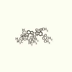 COc1cc(C(=O)OC(C)C)cc2nc(-c3cc4ccc([C@@H](C)N[S+]([O-])C(C)(C)C)c(F)c4n3C(=O)OC(C)(C)C)n(C)c12